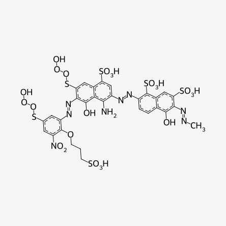 CN=Nc1c(S(=O)(=O)O)cc2c(S(=O)(=O)O)c(N=Nc3cc(S(=O)(=O)O)c4cc(SOOO)c(N=Nc5cc(SOOO)cc([N+](=O)[O-])c5OCCCS(=O)(=O)O)c(O)c4c3N)ccc2c1O